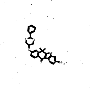 CC1(C)c2cc(OC3COC(c4ccccc4)OC3)ccc2C(=O)c2c1[nH]c1cc(N)ccc21